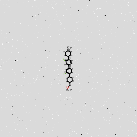 CCCOCC1CCC(c2ccc(-c3ccc(C4CCC(CCC)CC4)c(F)c3)cc2F)CC1